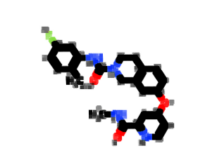 CNC(=O)c1cc(Oc2ccc3c(c2)CN(C(=O)Nc2cc(F)ccc2C)CC3)ccn1